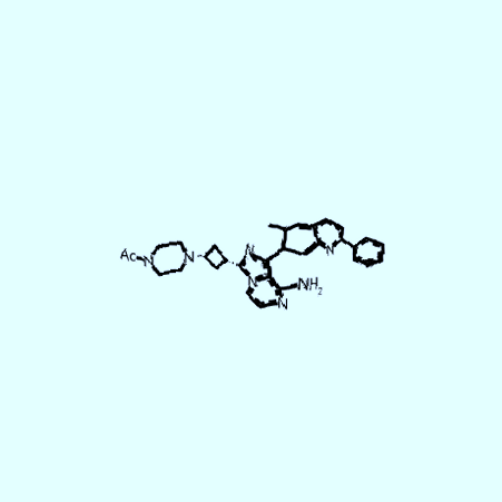 CC(=O)N1CCN([C@H]2C[C@@H](c3nc(C4C=c5nc(-c6ccccc6)ccc5=CC4C)c4c(N)nccn43)C2)CC1